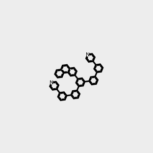 c1cc(-c2ccncc2)cc(-c2cccc(-c3cc(-c4cccc(-c5cccc(-c6ccncc6)c5)c4)cc(-c4ccc5ccc6ccccc6c5c4)c3)c2)c1